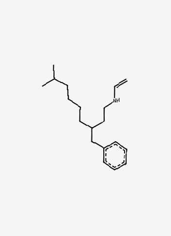 C=CNCCC(CCCCC(C)C)Cc1ccccc1